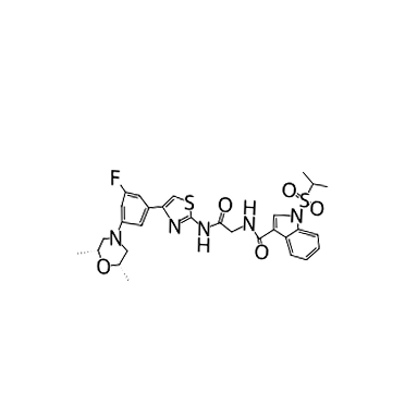 CC(C)S(=O)(=O)n1cc(C(=O)NCC(=O)Nc2nc(-c3cc(F)cc(N4C[C@@H](C)O[C@@H](C)C4)c3)cs2)c2ccccc21